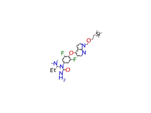 CCC(N(C)C)N(C(N)=O)c1cc(F)c(Oc2ccnc3c2ccn3COCC[Si](C)(C)C)c(F)c1